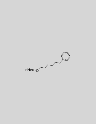 [CH2]CCCCCOCCCCCCc1ccccc1